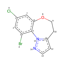 Clc1cc(Br)c2c(c1)OCCc1ccnn1-2